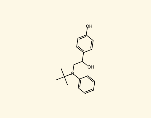 CC(C)(C)N(CC(O)c1ccc(O)cc1)c1ccccc1